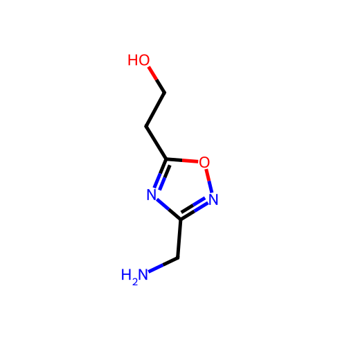 NCc1noc(CCO)n1